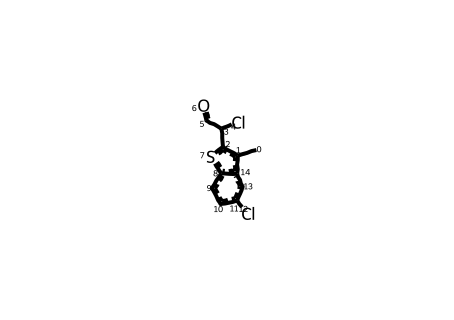 Cc1c(C(Cl)C=O)sc2ccc(Cl)cc12